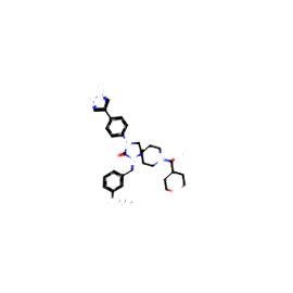 COc1cccc(CN2C(=O)N(c3ccc(-c4cn[nH]c4)cc3)CC23CCN(C(=O)C2CCOCC2)CC3)c1